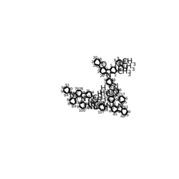 Cc1cc2c(cc1N1C=CN(C)C1(C)C)c1c3oc4ccccc4c3ccc1n2-c1cccc(CN2C=CN(c3cc4c5c(ccc6c7ccccc7n(-c7ccccc7)c65)n(-c5ccc(CN6C=CN(c7c(C)ccc8c9ccc%10c(c%11ccccc%11n%10-c%10ccccc%10)c9n(-c9ccccc9)c78)C6(C)C)cc5)c4cc3C)C2(C)C)c1